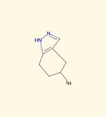 [2H]C1CCc2[nH]ncc2C1